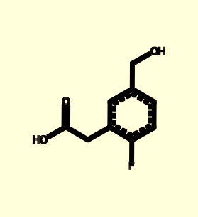 O=C(O)Cc1cc(CO)ccc1F